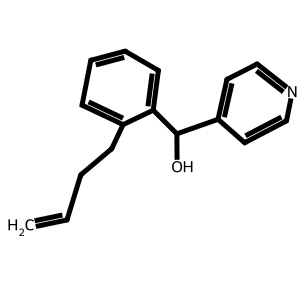 C=CCCc1ccccc1C(O)c1ccncc1